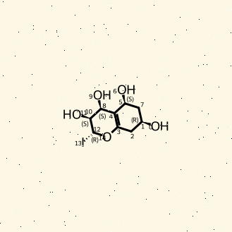 O[C@H]1CC2=C([C@@H](O)C1)[C@H](O)[C@H](O)[C@@H](I)O2